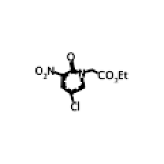 CCOC(=O)Cn1cc(Cl)cc([N+](=O)[O-])c1=O